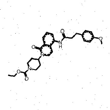 CCOC(=O)N1CCC(n2ccc3c(NC(=O)CCc4ccc(OC)cc4)cccc3c2=O)CC1